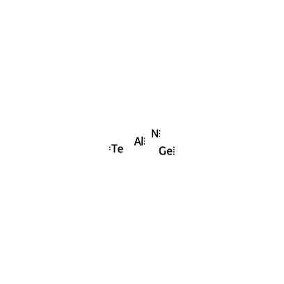 [Al].[Ge].[N].[Te]